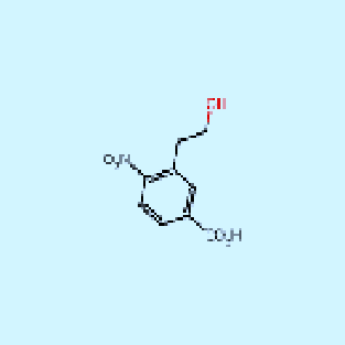 O=C(O)c1ccc([N+](=O)[O-])c(CCO)c1